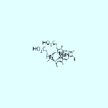 C=CC1=C(C)c2cc3[nH]c(cc4[n+]5c(cc6[nH]c(cc1[n+]25)c(C)c6CCC(=O)O)C(CCC(=O)O)=C4C)c(C)c3C=C